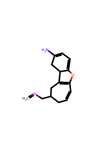 C=PCC1CC=CC2=C(C1)C1CC(N)=CC=C1O2